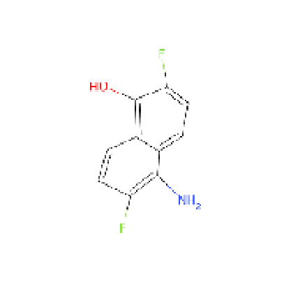 Nc1c(F)ccc2c(O)c(F)ccc12